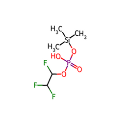 C[Si](C)(C)OP(=O)(O)OC(F)C(F)F